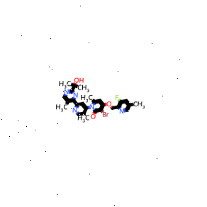 Cc1cnc(COc2cc(C)n(C3=CC(c4nc(C(C)(C)O)ncc4C)=NC[C@H]3C)c(=O)c2Br)c(F)c1